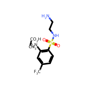 CC(=O)O.NCCNS(=O)(=O)c1ccc(C(F)(F)F)cc1[N+](=O)[O-]